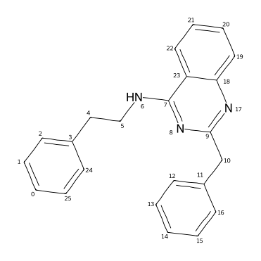 c1ccc(CCNc2nc(Cc3ccccc3)nc3ccccc23)cc1